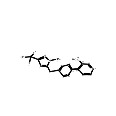 CCCCn1nc(C(F)(F)CCC)nc1Cc1ccc(-c2ccncc2C(=O)O)cc1